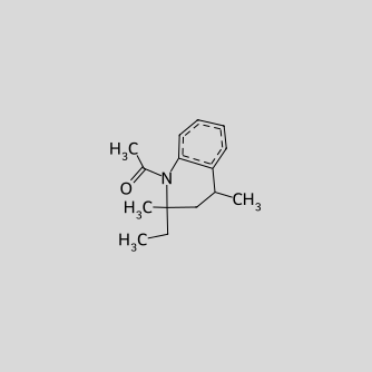 CCC1(C)CC(C)c2ccccc2N1C(C)=O